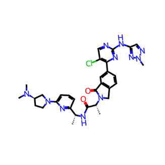 C[C@H](C(=O)N[C@H](C)c1cccc(N2CC[C@@H](N(C)C)C2)n1)N1Cc2ccc(-c3nc(Nc4cnn(C)n4)ncc3Cl)cc2C1=O